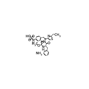 CCc1nc([C@H](Cc2ccc(NS(=O)(=O)O)cc2)NC(=O)C(Cc2ccccc2)NC(=O)OC)cs1.N